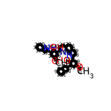 COc1cc(C2=Cc3ccccc3C2)c(O)c(-c2ccc3ccc4ccc(-c5cc(OC)cc(-c6cc7ccccc7[nH]6)c5O)nc4c3n2)c1